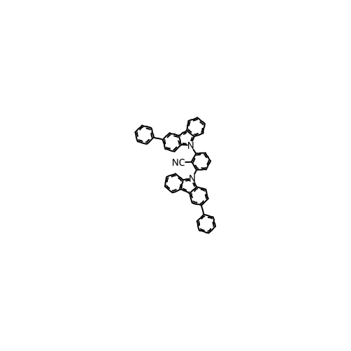 N#Cc1c(-n2c3ccccc3c3cc(-c4ccccc4)ccc32)cccc1-n1c2ccccc2c2cc(-c3ccccc3)ccc21